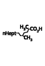 CCCCCCCCCC(C)CCC(C)C(=O)O